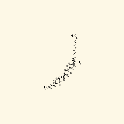 CCCCCCCCCCOC(C)c1ccc(-c2ccc(C(=O)Oc3ccc(CCCC)cc3)cc2)cc1